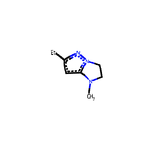 CCc1cc2n(n1)CCN2C